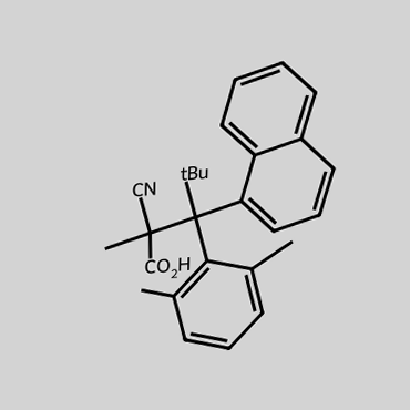 Cc1cccc(C)c1C(c1cccc2ccccc12)(C(C)(C)C)C(C)(C#N)C(=O)O